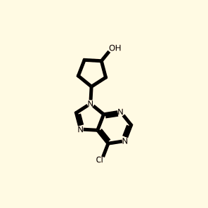 OC1CCC(n2cnc3c(Cl)ncnc32)C1